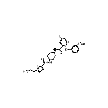 CSc1cccc(Oc2ncc(F)cc2C(=O)NC2CCC(NC(=O)c3ccn(CCO)n3)CC2)c1